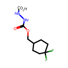 O=C(O)NNC(=O)OCC1CCC(F)(F)CC1